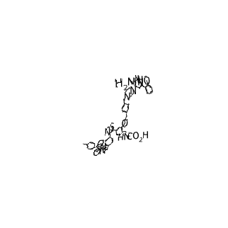 Cc1ccc(S(=O)(=O)n2ncc3ccc(-c4ncsc4-c4ccc(CNC(=O)O)c(OCCc5ccc(CN6CCN(c7cc(-c8ccccc8O)nnc7N)CC6)cc5)c4)cc32)cc1